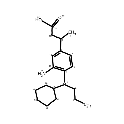 CCCN(c1ccc(C(C)CC(=O)O)cc1N)C1CCCCC1